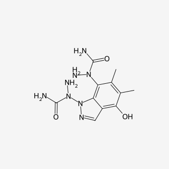 Cc1c(C)c(N(N)C(N)=O)c2c(cnn2N(N)C(N)=O)c1O